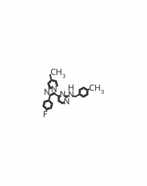 CCc1ccn2c(-c3ccnc(NCc4ccc(C)cc4)n3)c(-c3ccc(F)cc3)nc2c1